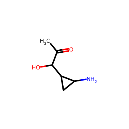 CC(=O)C(O)C1CC1N